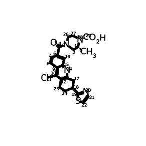 C[C@@H]1CN(C(=O)c2ccc3c(Cl)c4c(nc3c2)CC(c2nccs2)CC4)CCN1C(=O)O